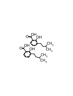 CC(C)CCc1cccc(C(=O)O)c1O.CC(C)CCc1cccc(C(=O)O)c1O